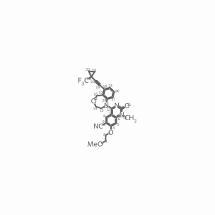 COCCOc1cc2c(cc1C#N)c(N1CCOCc3c(C#CC4(C(F)(F)F)CC4)cccc31)nc(=O)n2C